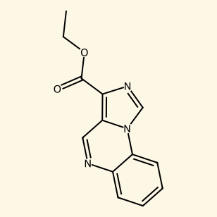 CCOC(=O)c1ncn2c1cnc1ccccc12